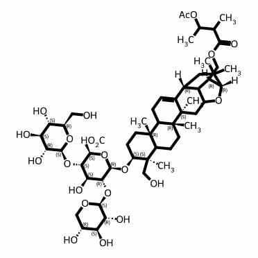 CC(=O)OC(C)C(C)C(=O)OC[C@H]1C2C3C[C@]4(C)C(=CCC5[C@@]6(C)CC[C@H](O[C@@H]7O[C@H](C(=O)O)[C@@H](O[C@@H]8O[C@H](CO)[C@@H](O)[C@H](O)[C@H]8O)[C@H](O)[C@H]7O[C@@H]7OC[C@@H](O)[C@H](O)[C@H]7O)[C@](C)(CO)C6CC[C@]54C)[C@@H]2CC(C)(C)[C@@H]1O3